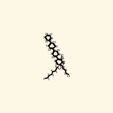 CCCCCCCOC1(CCCCC)C=CC(c2ccc(-c3ccc(-c4ccccc4)cc3)cc2)=C(F)C1F